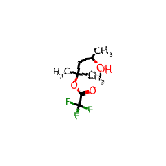 CC(O)CC(C)(C)OC(=O)C(F)(F)F